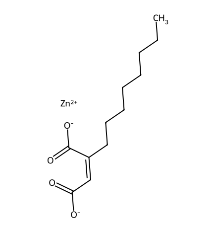 CCCCCCCC/C(=C/C(=O)[O-])C(=O)[O-].[Zn+2]